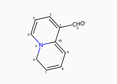 O=[C]C1=CC=CN2CC=CC=C12